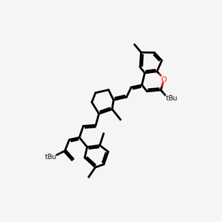 C=C(/C=C(/C=C/C1=C(C)C(=C/C=C2\C=C(C(C)(C)C)Oc3ccc(C)cc32)/CCC1)c1cc(C)ccc1C)C(C)(C)C